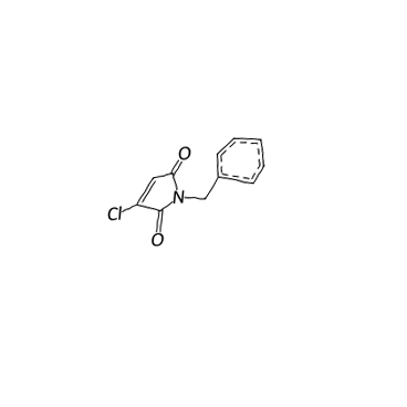 O=C1C=C(Cl)C(=O)N1Cc1ccccc1